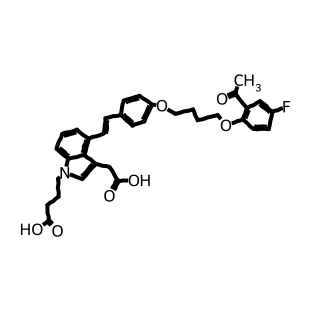 CC(=O)c1cc(F)ccc1OCCCCOc1ccc(/C=C/c2cccc3c2c(CC(=O)O)cn3CCCC(=O)O)cc1